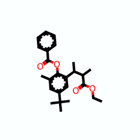 CCOC(=O)C(C)C(C)c1cc(C(C)(C)C)cc(C)c1OC(=O)c1ccccc1